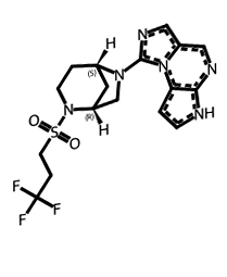 O=S(=O)(CCC(F)(F)F)N1CC[C@H]2C[C@@H]1CN2c1ncc2cnc3[nH]ccc3n12